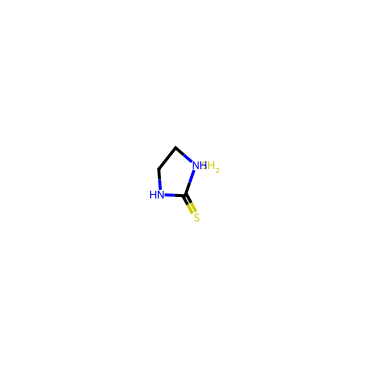 S.S=C1NCCN1